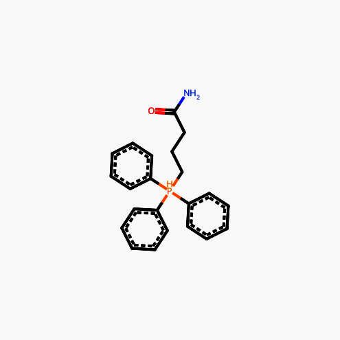 NC(=O)CCC[PH](c1ccccc1)(c1ccccc1)c1ccccc1